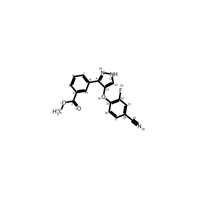 COC(=O)c1cccc(-c2n[nH]cc2Oc2ccc(C#N)cc2F)c1